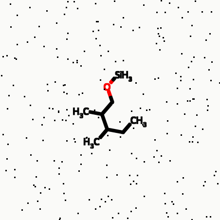 CCC(C)C(C)CO[SiH3]